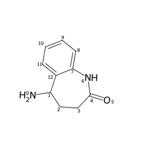 NC1CCC(=O)Nc2ccccc21